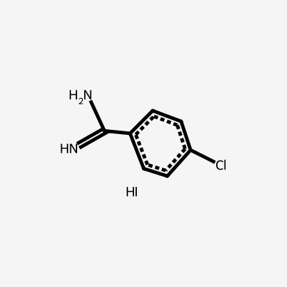 I.N=C(N)c1ccc(Cl)cc1